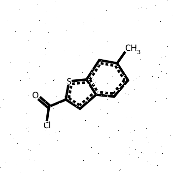 Cc1ccc2cc(C(=O)Cl)sc2c1